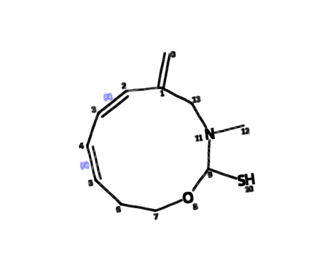 C=C1/C=C\C=C/CCOC(S)N(C)C1